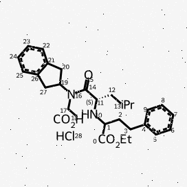 CCOC(=O)C(CCc1ccccc1)N[C@@H](CC(C)C)C(=O)N(CC(=O)O)C1Cc2ccccc2C1.Cl